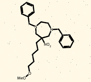 COOCCCCCC1([N+](=O)[O-])CN(Cc2ccccc2)CCN(Cc2ccccc2)C1